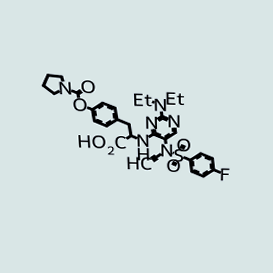 C#CN(c1cnc(N(CC)CC)nc1NC(Cc1ccc(OC(=O)N2CCCC2)cc1)C(=O)O)S(=O)(=O)c1ccc(F)cc1